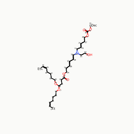 CC/C=C\CCCCOC(CCC(=O)OCCCCCCN(CCO)CCCCCOC(=O)OCCCCCCCCCC)OCCCC/C=C\CC